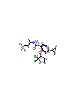 CC(/C=C/S(C)(=O)=O)NC(=O)c1cnc(C2CC2)nc1O[C@H]1CCCC1(F)F